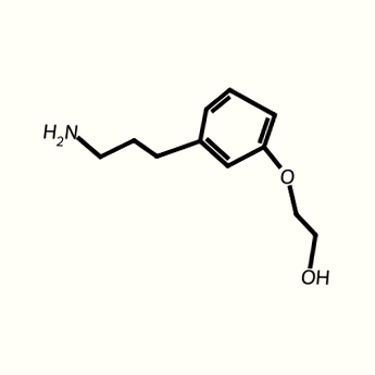 NCCCc1cccc(OCCO)c1